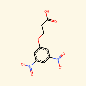 O=C(O)CCOc1cc([N+](=O)[O-])cc([N+](=O)[O-])c1